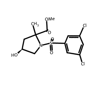 COC(=O)C1(C)C[C@H](O)CN1S(=O)(=O)c1cc(Cl)cc(Cl)c1